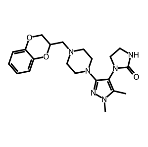 Cc1c(N2CCNC2=O)c(N2CCN(CC3COc4ccccc4O3)CC2)nn1C